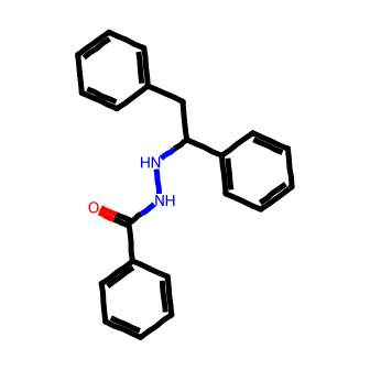 O=C(NNC(Cc1ccccc1)c1ccccc1)c1ccccc1